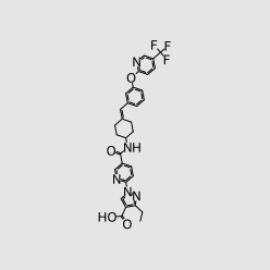 CCc1nn(-c2ccc(C(=O)NC3CCC(=Cc4cccc(Oc5ccc(C(F)(F)F)cn5)c4)CC3)cn2)cc1C(=O)O